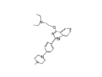 CCN(CC)CCOc1nc(-c2ccc(N3CCN(C)CC3)cc2)nc2ccccc12